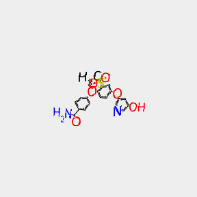 CS(=O)(=O)c1cc(Oc2cncc(O)c2)ccc1Oc1ccc(C(N)=O)cc1